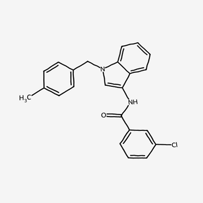 Cc1ccc(Cn2cc(NC(=O)c3cccc(Cl)c3)c3ccccc32)cc1